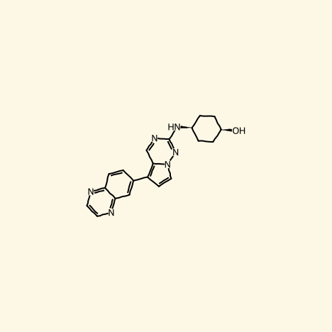 O[C@H]1CC[C@@H](Nc2ncc3c(-c4ccc5nccnc5c4)ccn3n2)CC1